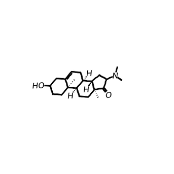 CN(C)C1C[C@H]2[C@@H]3CC=C4CC(O)CC[C@]4(C)[C@@H]3CC[C@]2(C)C1=O